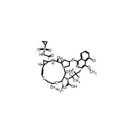 CC[C@@H]1C[C@H](C)CCC=C[C@@H]2C[C@@]2(C(=O)NS(=O)(=O)C2CC2)NC(=O)[C@@H]2C[C@@H](Oc3ncc(OC)c4c(Cl)cccc34)CN2C(=O)[C@H]1N(C(=O)O)C(C)(C)C(F)(F)F